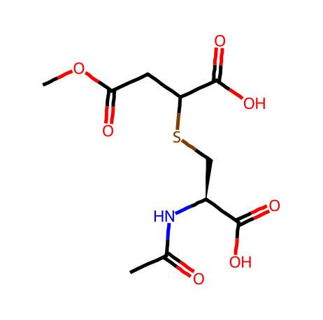 COC(=O)CC(SC[C@H](NC(C)=O)C(=O)O)C(=O)O